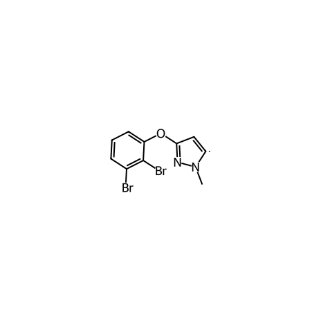 Cn1[c]cc(Oc2cccc(Br)c2Br)n1